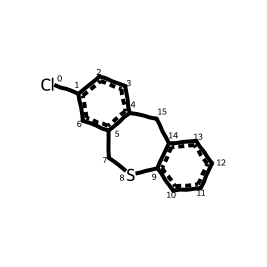 Clc1ccc2c(c1)CSc1ccccc1C2